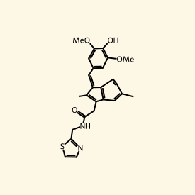 COc1cc(/C=C2/C(C)=C(CC(=O)NCc3nccs3)c3cc(C)ccc32)cc(OC)c1O